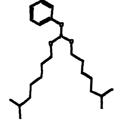 CC(C)CCCCCOP(OCCCCCC(C)C)Oc1ccccc1